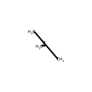 CCCCCCCCCCCCCCCCCCCCCCCC(CCCCCCCCCCCCCCCCCCCCCC)CNCCC